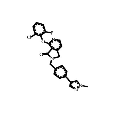 Cn1cc(-c2ccc(CN3Cc4ccnc(Oc5c(F)cccc5Cl)c4C3=O)cc2)cn1